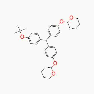 CC(C)(C)Oc1ccc(C(c2ccc(OC3CCCCO3)cc2)c2ccc(OC3CCCCO3)cc2)cc1